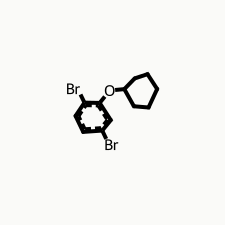 Brc1ccc(Br)c(OC2CCCCC2)c1